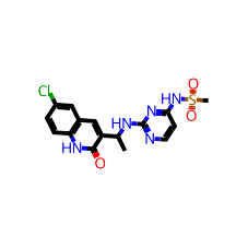 CC(Nc1nccc(NS(C)(=O)=O)n1)c1cc2cc(Cl)ccc2[nH]c1=O